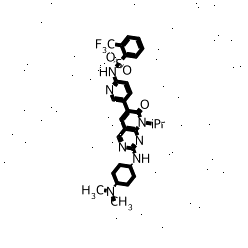 CC(C)n1c(=O)c(-c2ccc(NS(=O)(=O)c3ccccc3C(F)(F)F)nc2)cc2cnc(N[C@H]3CC[C@H](N(C)C)CC3)nc21